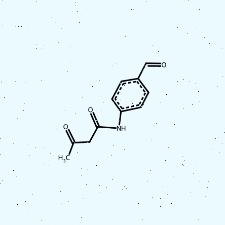 CC(=O)CC(=O)Nc1ccc(C=O)cc1